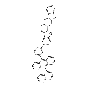 c1cc(-c2ccc3oc4c5cc6sc7ccccc7c6cc5ccc4c3c2)cc(-c2c3ccccc3c(-c3cccc4ccccc34)c3ccccc23)c1